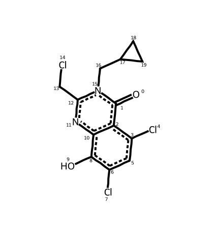 O=c1c2c(Cl)cc(Cl)c(O)c2nc(CCl)n1CC1CC1